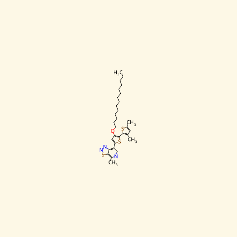 CCCCCCCCCCCCCCOc1cc(-c2cnc(C)c3snnc23)sc1-c1sc(C)cc1C